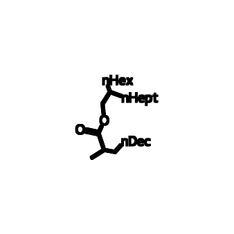 CCCCCCCCCCCC(C)C(=O)OCC(CCCCCC)CCCCCCC